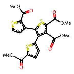 COC(=O)c1ccc(-c2c(-c3ccsc3C(=O)OC)sc(C(=O)OC)c2C(=O)OC)s1